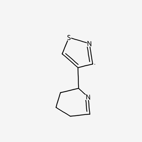 [c]1nscc1C1CCCC=N1